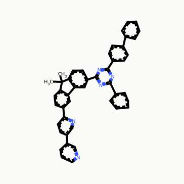 CC1(C)c2ccc(-c3ccc(-c4cccnc4)cn3)cc2-c2cc(-c3nc(-c4ccccc4)nc(-c4ccc(-c5ccccc5)cc4)n3)ccc21